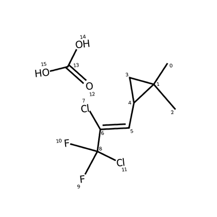 CC1(C)CC1C=C(Cl)C(F)(F)Cl.O=C(O)O